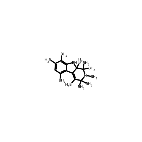 BC1=C2c3c(B)cc(B)c(B)c3BC2(B)C(B)(B)N(B)C1(B)B